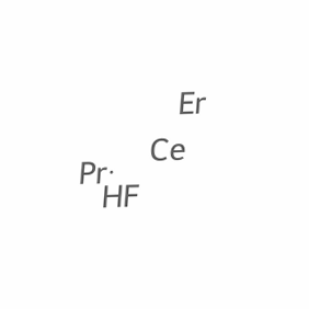 F.[Ce].[Er].[Pr]